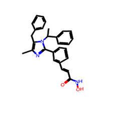 Cc1nc(-c2cccc(C=CC(=O)NO)c2)n(C(C)c2ccccc2)c1Cc1ccccc1